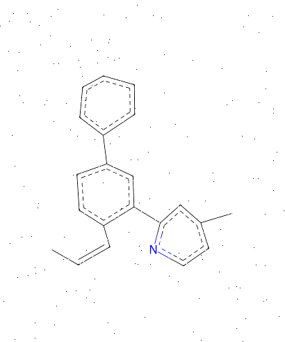 C/C=C\c1ccc(-c2ccccc2)cc1-c1cc(C)ccn1